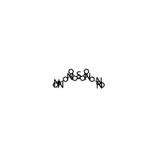 c1ccc2c(c1)c1c3sc4c(ccc5c4c4ccccc4n5-c4ccc(-c5cn6ccccc6n5)cc4)c3ccc1n2-c1ccc(-c2cn3ccccc3n2)cc1